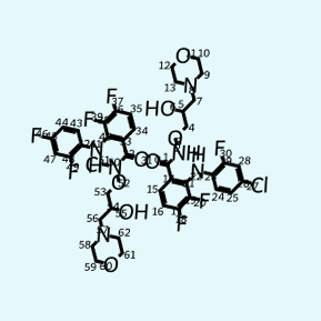 O=C(NOCC(O)CN1CCOCC1)c1ccc(F)c(F)c1Nc1ccc(Cl)cc1F.O=C(c1ccc(F)c(F)c1Nc1ccc(F)cc1F)N(Cl)OCC(O)CN1CCOCC1